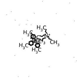 CCCC[N+](CCCC)(CCCC)CCCC.Cc1ccc([B-](C)(c2ccc(C)cc2)c2ccc(C)cc2)cc1